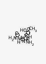 COc1ccc2[nH]c(-c3nc(N[C@@H]4CCOC[C@@H]4N)cnc3C(N)=O)cc2c1O